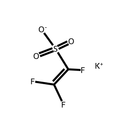 O=S(=O)([O-])C(F)=C(F)F.[K+]